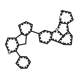 c1ccc(-c2nccc3c2Cc2c(-c4ccc5c6cccc7c8ccccc8n(c5c4)c76)cccc2-3)cc1